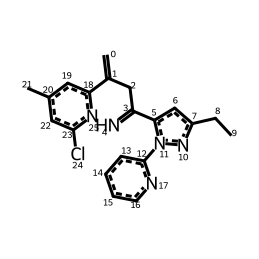 C=C(CC(=N)c1cc(CC)nn1-c1ccccn1)c1cc(C)cc(Cl)n1